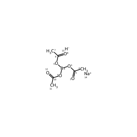 CC(=O)OB(OC(C)=O)OC(C)=O.[H-].[Na+]